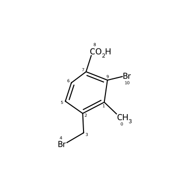 Cc1c(CBr)ccc(C(=O)O)c1Br